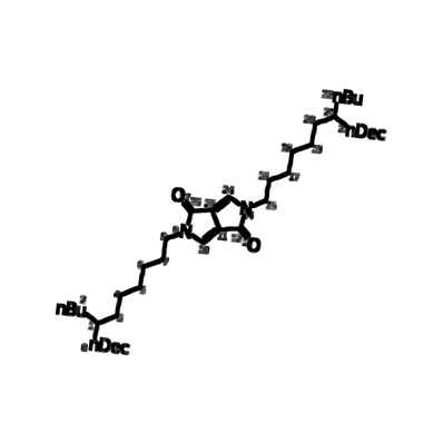 CCCCCCCCCCC(CCCC)CCCCCCN1C=C2C(=O)N(CCCCCCC(CCCC)CCCCCCCCCC)C=C2C1=O